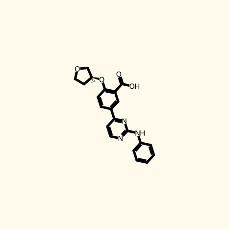 O=C(O)c1cc(-c2ccnc(Nc3ccccc3)n2)ccc1O[C@H]1CCOC1